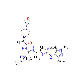 C=CN/C(C)=C(\NC(=O)C(CC)N1CCN(C2COC2)CC1)NC(C)[C@@H](C)/N=C(\N=C)Nc1cn(C)nc1OC